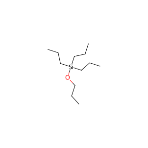 CCCO[Si](CCC)(CCC)CCC